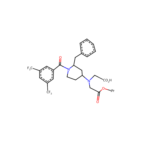 CC(C)OC(=O)CN(CC(=O)O)C1CCN(C(=O)c2cc(C(F)(F)F)cc(C(F)(F)F)c2)C(Cc2ccccc2)C1